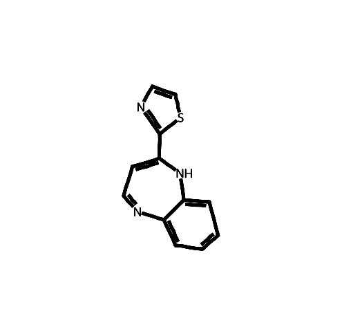 C1=Nc2ccccc2NC(c2nccs2)=C1